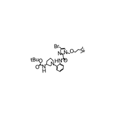 CC(C)(C)OC(=O)NC1CCCN(c2ccccc2NC(=O)c2nc(Br)cn2COCC[Si](C)(C)C)C1